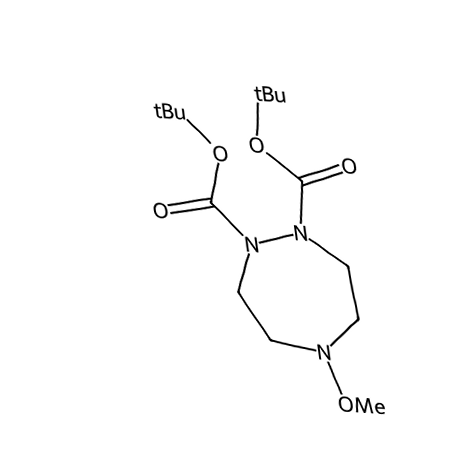 CON1CCN(C(=O)OC(C)(C)C)N(C(=O)OC(C)(C)C)CC1